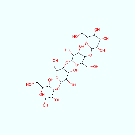 OCC(O)C(O)C(OC1OC(CO)C(OC2OC(CO)C(OC3OC(CO)C(O)C(O)C3O)C(O)C2O)C(O)C1O)C(O)CO